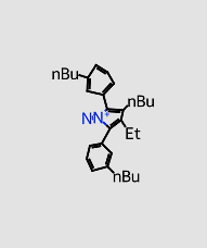 CCCCC1=C(c2cccc(CCCC)c2)[N+](=[N-])C(c2cccc(CCCC)c2)=C1CC